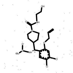 C=CCOc1cc(Cl)c(Cl)cc1[C@H](N[S+]([O-])C(C)(C)C)C1CCN(C(=O)NCCO)CC1